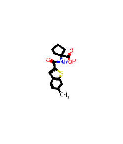 Cc1ccc2cc(C(=O)NC3(C(=O)O)CCCC3)sc2c1